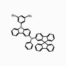 CC(C)(C)c1cc(-n2c3ccccc3c3cc(N(c4ccccc4)c4ccc5c(c4)C4(c6ccccc6-c6ccccc64)c4ccccc4-5)ccc32)cc(C(C)(C)C)c1